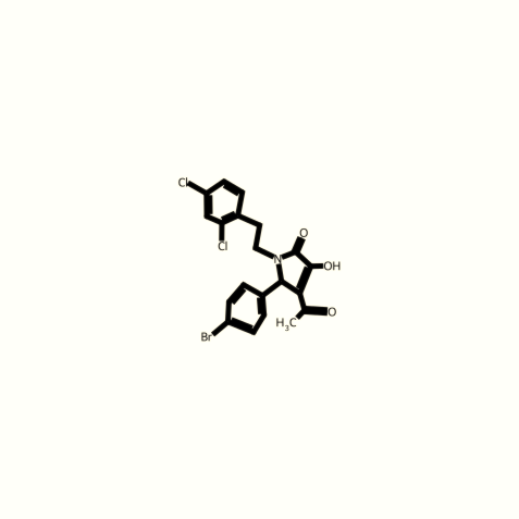 CC(=O)C1=C(O)C(=O)N(CCc2ccc(Cl)cc2Cl)C1c1ccc(Br)cc1